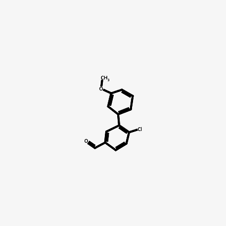 COc1cccc(-c2cc(C=O)ccc2Cl)c1